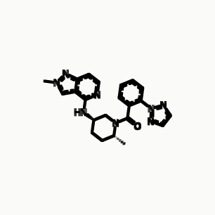 C[C@@H]1CC[C@@H](Nc2nccc3nn(C)cc23)CN1C(=O)c1ccccc1-n1nccn1